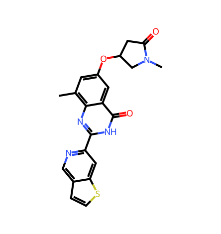 Cc1cc(OC2CC(=O)N(C)C2)cc2c(=O)[nH]c(-c3cc4sccc4cn3)nc12